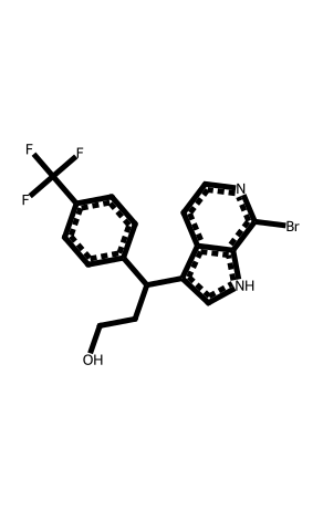 OCCC(c1ccc(C(F)(F)F)cc1)c1c[nH]c2c(Br)nccc12